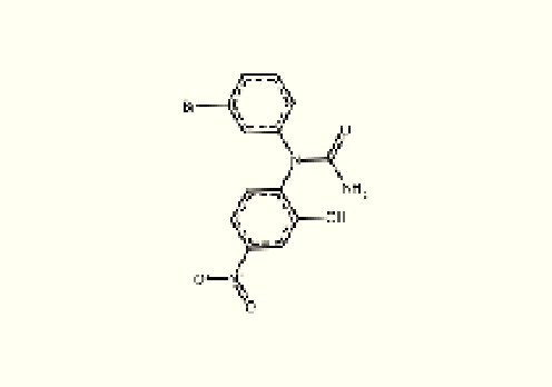 NC(=O)N(c1cccc(Br)c1)c1ccc([N+](=O)[O-])cc1O